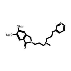 COc1cc2c(cc1OC)C(=O)N(CCCN(C)CCCc1cccnc1)C2